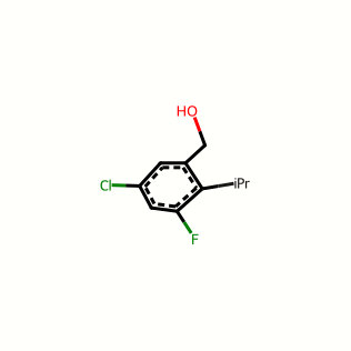 CC(C)c1c(F)cc(Cl)cc1CO